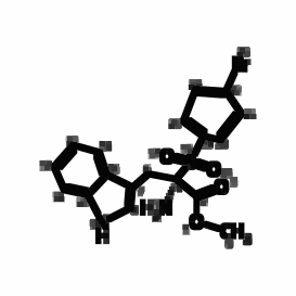 COC(=O)[C@@](N)(Cc1c[nH]c2ccccc12)S(=O)(=O)c1ccc(Br)cc1